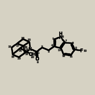 O=C(CCc1c[nH]c2cc(F)ccc12)N1C2CC3CC(C2)C(O)C1C3